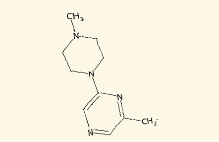 [CH2]c1cncc(N2CCN(C)CC2)n1